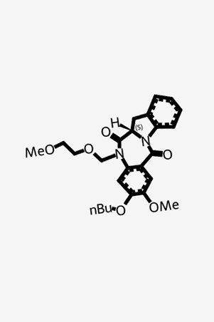 CCCCOc1cc2c(cc1OC)C(=O)N1c3ccccc3C[C@H]1C(=O)N2COCCOC